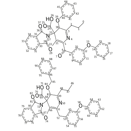 CCCC1=NC(C(=O)c2cccc(Oc3ccccc3)c2)=C(C)C(C(=O)O)(N2C(=O)c3ccccc3C2=O)C1Oc1ccccc1.CCCC1=NC(Cc2cccc(Oc3ccccc3)c2)=C(C)C(C(=O)O)(N2C(=O)c3ccccc3C2=O)C1OCc1ccccc1